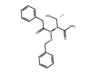 C[C@@H](O)[C@@H](C(N)=O)N(OCc1ccccc1)C(=O)Cc1ccccc1